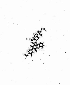 CCNC(=O)Nc1ccc(-c2sc3c(c2CN(C)CCOC)c(=O)n(-c2ccc(C)c(F)c2)c(=O)n3Cc2c(F)cccc2F)cc1